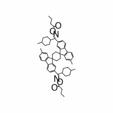 CCCC(=O)O/N=C(/c1ccc2c(c1)C1(CCC3(CC1)c1cc(C)ccc1-c1ccc(/C(=N/OC(=O)CCC)C4CCC(C)CC4)cc13)c1cc(C)ccc1-2)C1CCC(C)CC1